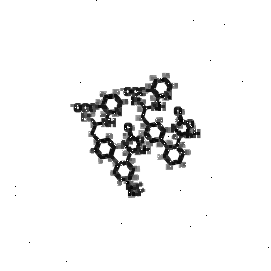 CCC(Cc1ccc(-c2ccccc2-c2nc(=O)o[nH]2)cc1)Nc1ncccc1C(=O)[O-].CCC(Cc1ccc(-c2ccccc2-c2nc(=O)o[nH]2)cc1)Nc1ncccc1C(=O)[O-].[Na+].[Na+]